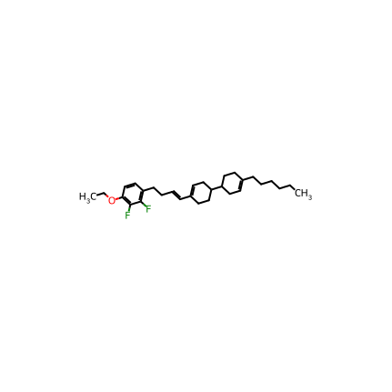 CCCCCCC1=CCC(C2CC=C(/C=C/CCc3ccc(OCC)c(F)c3F)CC2)CC1